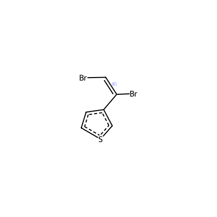 Br/C=C(/Br)c1ccsc1